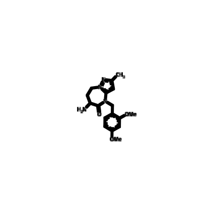 COc1ccc(CN2C(=O)C(N)CCn3nc(C)cc32)c(OC)c1